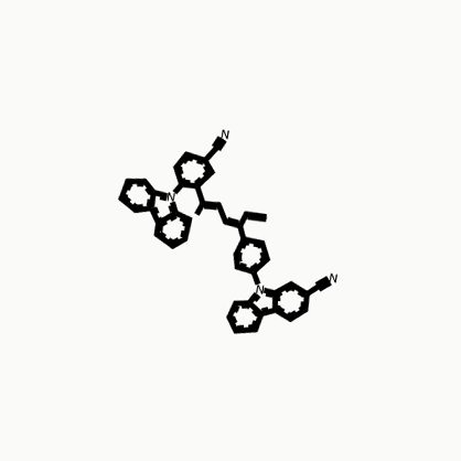 C=C/C(=C\C=C(/C)c1cc(C#N)ccc1-n1c2ccccc2c2ccccc21)c1ccc(-n2c3ccccc3c3ccc(C#N)cc32)cc1